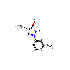 CCOC(=O)c1cn(-c2cccc([N+](=O)[O-])c2)[nH]c1=O